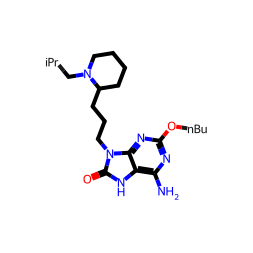 CCCCOc1nc(N)c2[nH]c(=O)n(CCCC3CCCCN3CC(C)C)c2n1